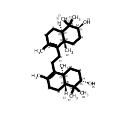 CC1=C(CCC2=C(C)CC[C@H]3C(C)(C)[C@@H](O)CC[C@]23C)[C@@]2(C)CC[C@H](O)C(C)(C)[C@@H]2CC1